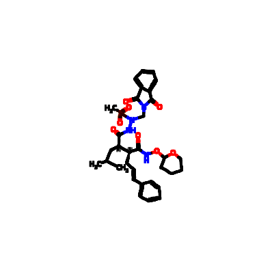 CC(C)C[C@@H](C(=O)NN(CN1C(=O)c2ccccc2C1=O)S(C)(=O)=O)[C@H](CC=Cc1ccccc1)C(=O)NOC1CCCCO1